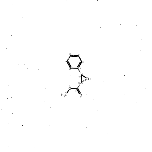 COC(=O)[C@H]1O[C@H]1c1ccccc1